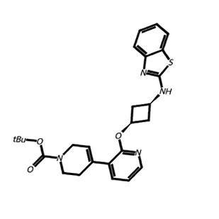 CC(C)(C)OC(=O)N1CC=C(c2cccnc2O[C@H]2C[C@@H](Nc3nc4ccccc4s3)C2)CC1